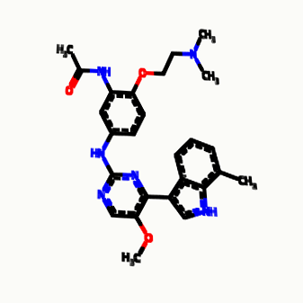 COc1cnc(Nc2ccc(OCCN(C)C)c(NC(C)=O)c2)nc1-c1c[nH]c2c(C)cccc12